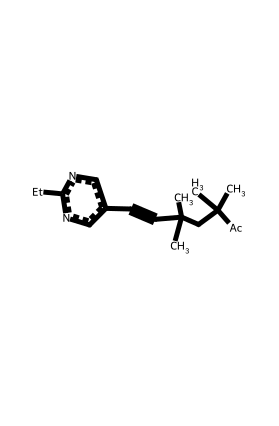 CCc1ncc(C#CC(C)(C)CC(C)(C)C(C)=O)cn1